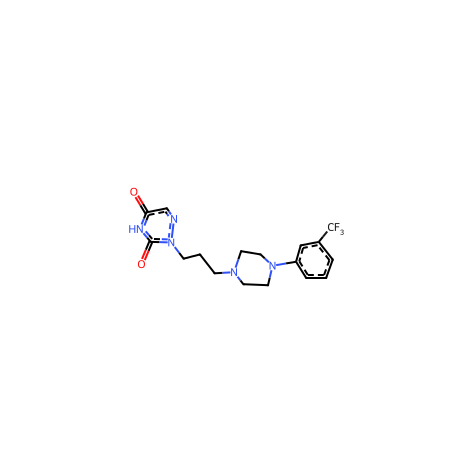 O=c1cnn(CCCN2CCN(c3cccc(C(F)(F)F)c3)CC2)c(=O)[nH]1